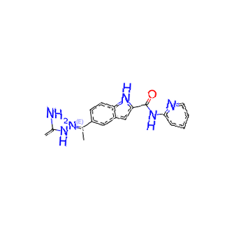 C=C(N)N/N=C(\C)c1ccc2[nH]c(C(=O)Nc3ccccn3)cc2c1